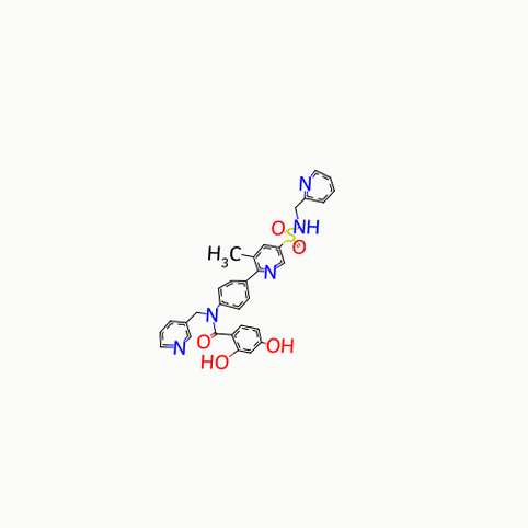 Cc1cc(S(=O)(=O)NCc2ccccn2)cnc1-c1ccc(N(Cc2cccnc2)C(=O)c2ccc(O)cc2O)cc1